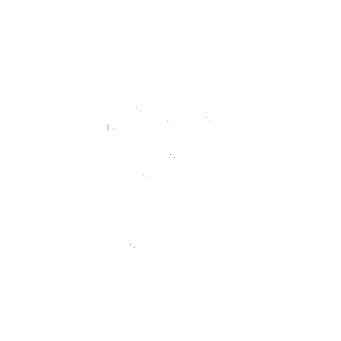 CNc1nc(-c2ccccn2)nc(NCc2ccncc2)c1C=N